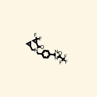 O=C(C1CC1(F)F)N(Cc1ccc(-c2noc(C(F)(F)F)n2)cc1)CC1CC1